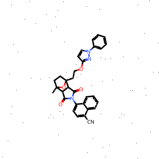 CC12CCC(CCOc3ccn(-c4ccccc4)n3)(O1)C1C(=O)N(c3ccc(C#N)c4ccccc34)C(=O)C12